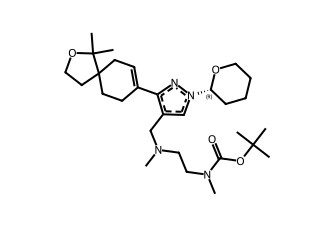 CN(CCN(C)C(=O)OC(C)(C)C)Cc1cn([C@H]2CCCCO2)nc1C1=CCC2(CCOC2(C)C)CC1